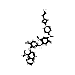 COc1cc(N(C)C2CCN(C3CN(CCF)C3)CC2)c(C)cc1Nc1ncc(Br)c(Nc2ccc3nccnc3c2P(C)C)n1